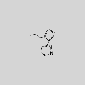 CCCc1ccccc1-c1cccnn1